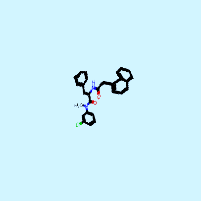 CN(C(=O)C(Cc1ccccc1)NC(=O)Cc1cccc2ccccc12)c1cccc(Cl)c1